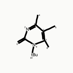 C=C1N=C(C)C(C)=C(C)N1C(C)(C)C